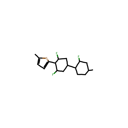 Cc1ccc(C2C(F)CC(C3CCC(C)CC3F)CC2F)s1